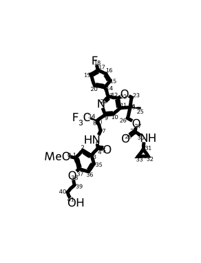 COc1cc(C(=O)NC[C@H](c2cc3c(c(-c4ccc(F)cc4)n2)OC[C@]3(C)COC(=O)NC2CC2)C(F)(F)F)ccc1OCCO